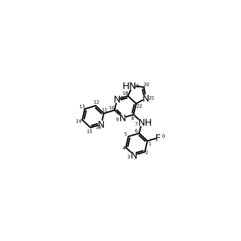 Fc1cnccc1Nc1nc(-c2ccccn2)nc2[nH]cnc12